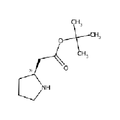 CC(C)(C)OC(=O)C[C@@H]1CCCN1